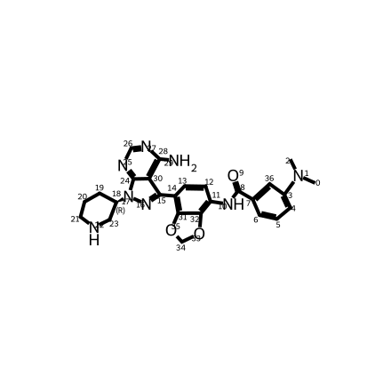 CN(C)c1cccc(C(=O)Nc2ccc(-c3nn([C@@H]4CCCNC4)c4ncnc(N)c34)c3c2OCO3)c1